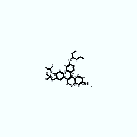 CCCC(CC)Oc1ccc(C2=C(c3ccc4c(c3)CC(C)(C)N4C(C)=O)CSc3cc(N)ccc32)cc1